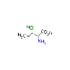 C=CCC(N)C(=O)O.Cl